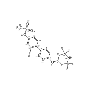 CC1(C)CC(Oc2ccc(-c3ccc(OS(=O)(=O)C(F)(F)F)cc3F)nn2)CC(C)(C)N1